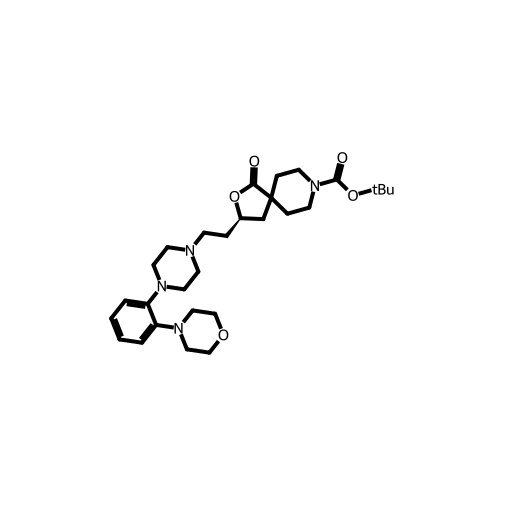 CC(C)(C)OC(=O)N1CCC2(CC1)C[C@@H](CCN1CCN(c3ccccc3N3CCOCC3)CC1)OC2=O